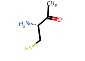 CC(=O)[C@@H](N)CS